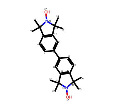 CC1(C)c2ccc(-c3ccc4c(c3)C(C)(C)N(O)C4(C)C)cc2C(C)(C)N1O